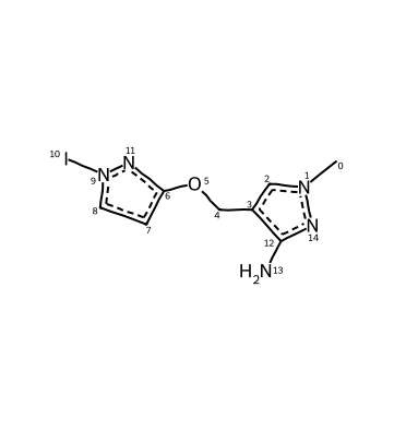 Cn1cc(COc2ccn(I)n2)c(N)n1